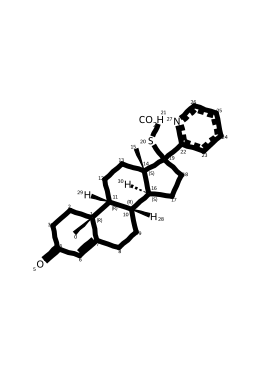 C[C@]12CCC(=O)C=C1CC[C@@H]1[C@H]2CC[C@@]2(C)[C@H]1CCC2(SC(=O)O)c1ccccn1